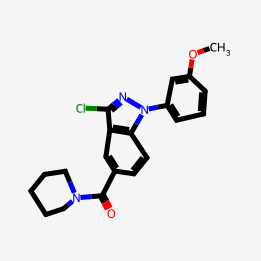 COc1cccc(-n2nc(Cl)c3cc(C(=O)N4CCCCC4)ccc32)c1